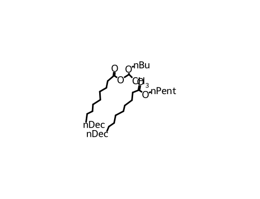 CCCCCCCCCCCCCCCCCC(=O)OC(C)OCCCC.CCCCCCCCCCCCCCCCCC(=O)OCCCCC